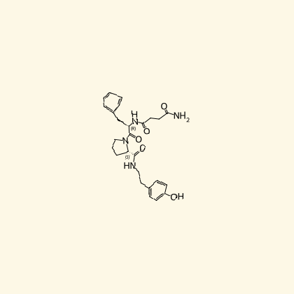 NC(=O)CCC(=O)N[C@H](Cc1ccccc1)C(=O)N1CCC[C@H]1C(=O)NCCc1ccc(O)cc1